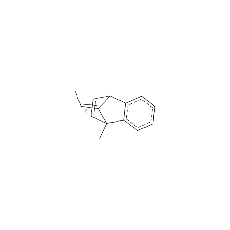 C/C=C1\C2C=CC1(C)c1ccccc12